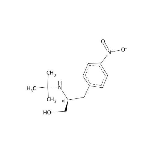 CC(C)(C)N[C@H](CO)Cc1ccc([N+](=O)[O-])cc1